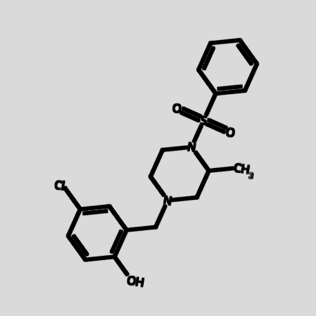 CC1CN(Cc2cc(Cl)ccc2O)CCN1S(=O)(=O)c1ccccc1